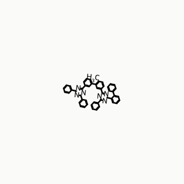 Cc1ccc(-c2nc(-c3ccccc3)nc(-c3ccccc3-c3ccccc3)n2)cc1-c1cccc(-c2nc(-c3ccccc3)nc(-c3ccccc3)n2)c1